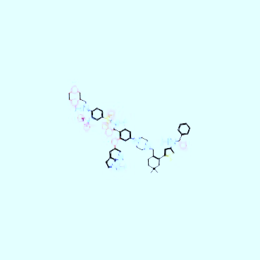 CC1(C)CCC(CN2CCN(c3ccc(C(=O)NS(=O)(=O)c4ccc(NCC5COCCO5)c([N+](=O)[O-])c4)c(Oc4cnc5[nH]ccc5c4)c3)CC2)=C(c2cc(NC(=O)c3ccccc3)cs2)C1